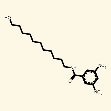 O=C(NCCCCCCCCCCCO)c1cc([N+](=O)[O-])cc([N+](=O)[O-])c1